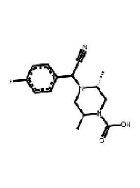 C[C@@H]1CN(C(=O)O)[C@@H](C)CN1C(C#N)c1ccc(F)cc1